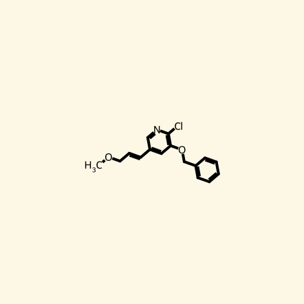 COCC=Cc1cnc(Cl)c(OCc2ccccc2)c1